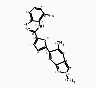 Cc1cc2cn(C)nc2cc1-c1ccc(C(=O)Nc2c(F)cccc2F)s1